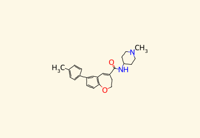 Cc1ccc(-c2ccc3c(c2)C=C(C(=O)NC2CCN(C)CC2)CCO3)cc1